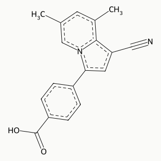 Cc1cc(C)c2c(C#N)cc(-c3ccc(C(=O)O)cc3)n2c1